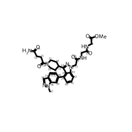 COC(=O)CNC(=O)CNC(=O)Cn1nc(C2CCN(C(=O)CCC(N)=O)CC2)c2c(-c3ccc4cnn(C)c4c3)cccc21